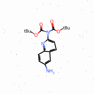 CC(C)(C)OC(=O)N(C(=O)OC(C)(C)C)c1ccc2cc(N)ccc2n1